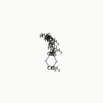 CCCCCCCC/C=C\CCCCCCCC(=O)OCC(COC(=O)CCCCCCC/C=C\CCCCCCCC)OC(=O)CC(C)CNCCCC(=O)Oc1c(C)cc(Cn2ccc3c(N(C)[C@H]4CN(C(=O)CC#N)CC[C@H]4C)ncnc32)cc1C